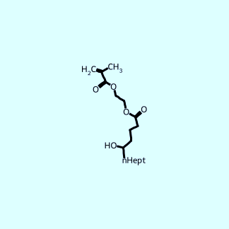 C=C(C)C(=O)OCCOC(=O)CCCC(O)CCCCCCC